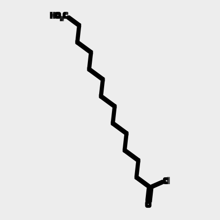 O=C(O)CCCCCCCCCCCCC(=O)Cl